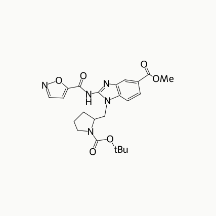 COC(=O)c1ccc2c(c1)nc(NC(=O)c1ccno1)n2CC1CCCN1C(=O)OC(C)(C)C